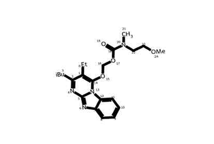 CCc1c(C(C)CC)nc2nc3ccccc3n2c1OCOC(=O)N(C)CCOC